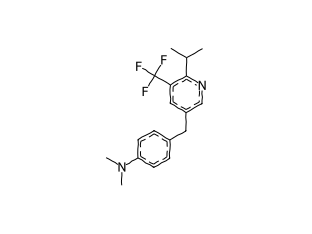 CC(C)c1ncc(Cc2ccc(N(C)C)cc2)cc1C(F)(F)F